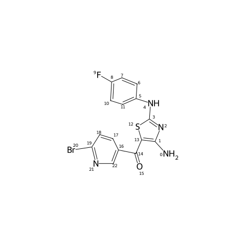 Nc1nc(Nc2ccc(F)cc2)sc1C(=O)c1ccc(Br)nc1